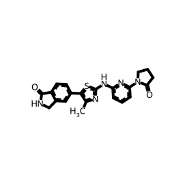 Cc1nc(Nc2cccc(N3CCCC3=O)n2)sc1-c1ccc2c(c1)CNC2=O